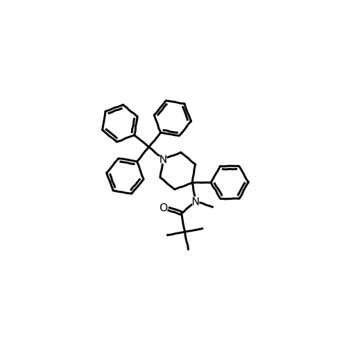 CN(C(=O)C(C)(C)C)C1(c2ccccc2)CCN(C(c2ccccc2)(c2ccccc2)c2ccccc2)CC1